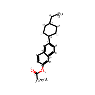 CCCCCC(=O)Oc1ccc2cc(C3CCC(CC(C)CC)CC3)ccc2c1